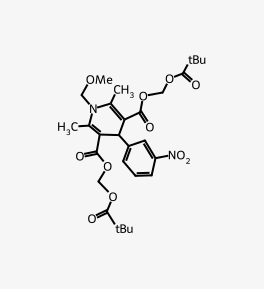 COCN1C(C)=C(C(=O)OCOC(=O)C(C)(C)C)C(c2cccc([N+](=O)[O-])c2)C(C(=O)OCOC(=O)C(C)(C)C)=C1C